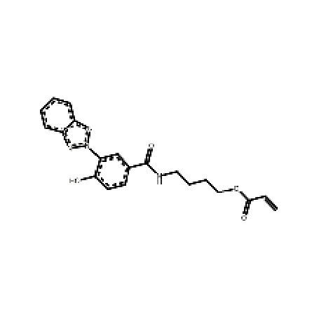 C=CC(=O)OCCCCNC(=O)c1ccc(O)c(-n2nc3ccccc3n2)c1